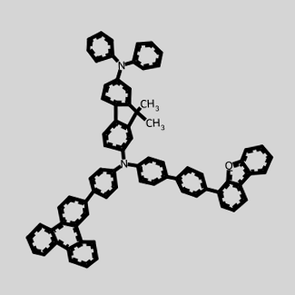 CC1(C)c2cc(N(c3ccccc3)c3ccccc3)ccc2-c2ccc(N(c3ccc(-c4ccc(-c5cccc6c5oc5ccccc56)cc4)cc3)c3ccc(-c4ccc5c6ccccc6c6ccccc6c5c4)cc3)cc21